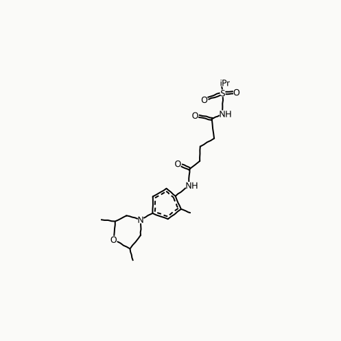 Cc1cc(N2CC(C)OC(C)C2)ccc1NC(=O)CCCC(=O)NS(=O)(=O)C(C)C